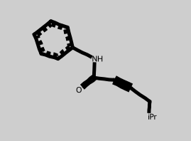 CC(C)CC#CC(=O)Nc1ccccc1